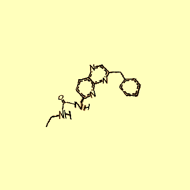 CCNC(=O)Nc1ccc2ncc(Cc3ccccc3)nc2n1